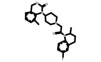 Cc1cccc2c1N(C1CCN(CC(=O)N3c4ccc(F)cc4CCC3C)CC1)C(=O)OC2